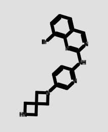 Brc1cccc2cnc(Nc3ccc(N4CC5(CNC5)C4)cn3)nc12